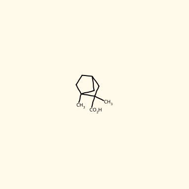 CC12CCC(C1)CC2(C)C(=O)O